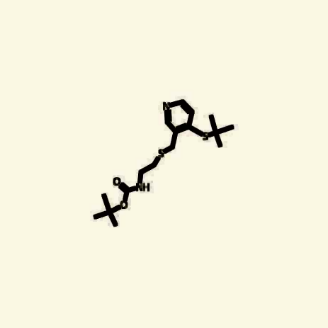 CC(C)(C)OC(=O)NCCSCc1cnccc1SC(C)(C)C